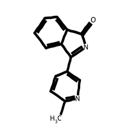 Cc1ccc(C2=NC(=O)c3ccccc32)cn1